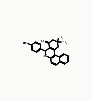 C=C1CC(C)(C)CC2=C1C(c1ccc(C(C)(C)C)cc1)Nc1ccc3ccccc3c12